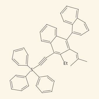 CCc1c(C=C(C)C)c(-c2cccc3ccccc23)c2ccccc2c1C#CS(c1ccccc1)(c1ccccc1)c1ccccc1